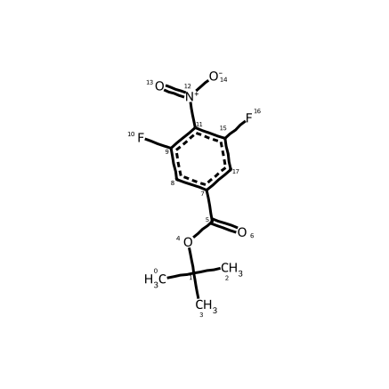 CC(C)(C)OC(=O)c1cc(F)c([N+](=O)[O-])c(F)c1